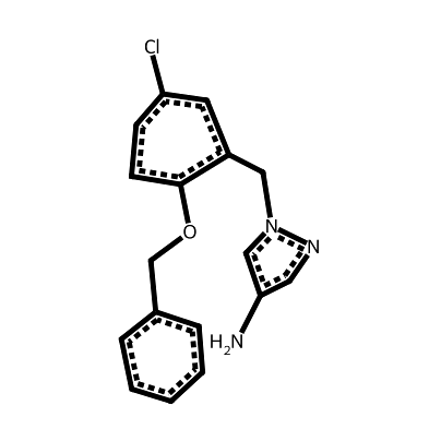 Nc1cnn(Cc2cc(Cl)ccc2OCc2ccccc2)c1